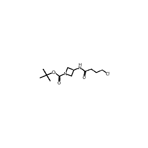 CC(C)(C)OC(=O)N1CC(NC(=O)CCCCl)C1